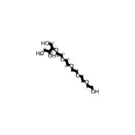 OCCOCCOCCOCCOCCOC(CO)C(O)CO